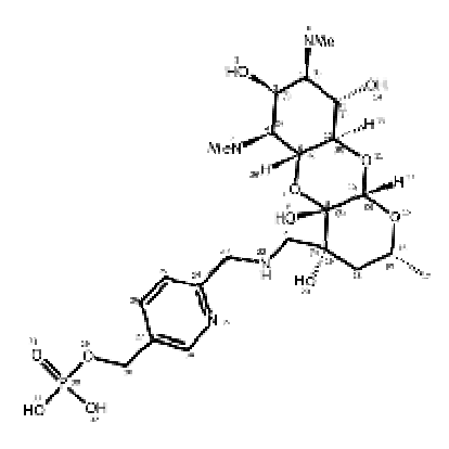 CN[C@@H]1[C@H](O)[C@H](NC)[C@H]2O[C@]3(O)[C@H](O[C@@H]2[C@H]1O)O[C@H](C)C[C@@]3(O)CNCc1ccc(COP(=O)(O)O)cn1